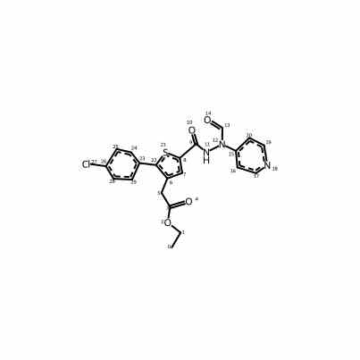 CCOC(=O)Cc1cc(C(=O)NN(C=O)c2ccncc2)sc1-c1ccc(Cl)cc1